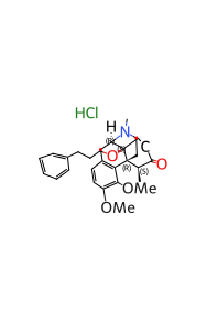 COc1ccc2c(c1OC)[C@]13CCN(C)[C@H](C2)[C@]1(OCCCc1ccccc1)CCC(=O)[C@H]3C.Cl